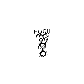 O=C(O)C(C(=O)O)C1OC[C@@H]2OC(c3ccccc3)OC=C2O1